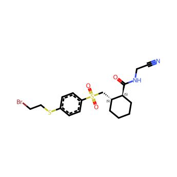 N#CCNC(=O)[C@H]1CCCC[C@@H]1CS(=O)(=O)c1ccc(SCCBr)cc1